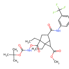 CCC1(C(=O)ONC(=O)OC(C)(C)C)CC(C(=O)Nc2cccc(C(F)(F)F)c2)C2C(C(=O)OC)C21CC